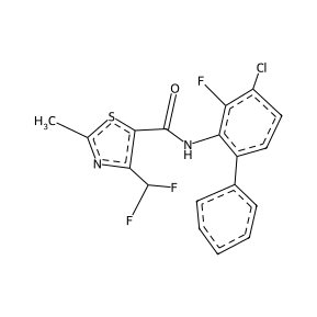 Cc1nc(C(F)F)c(C(=O)Nc2c(-c3ccccc3)ccc(Cl)c2F)s1